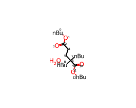 CCCCOC(=O)CCC(CCCC)(CCCC)C(=O)OCCCC.O